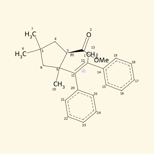 COC(=O)[C@@H]1CC(C)(C)CC1(C)/C(=C(\C)c1ccccc1)c1ccccc1